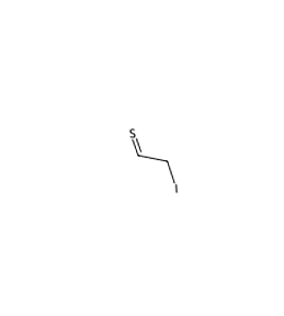 S=CCI